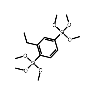 CCc1cc([Si](OC)(OC)OC)ccc1[Si](OC)(OC)OC